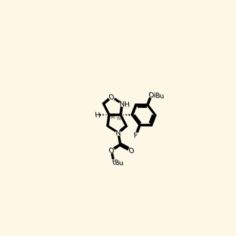 CC(C)COc1ccc(F)c([C@]23CN(C(=O)OC(C)(C)C)C[C@H]2CON3)c1